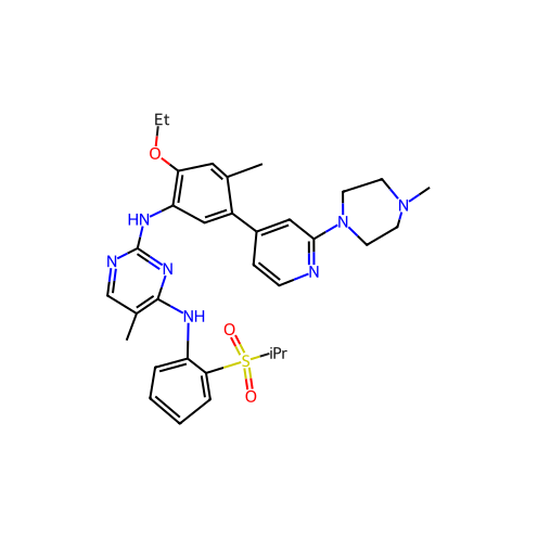 CCOc1cc(C)c(-c2ccnc(N3CCN(C)CC3)c2)cc1Nc1ncc(C)c(Nc2ccccc2S(=O)(=O)C(C)C)n1